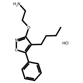 CCCCc1c(OCCN)noc1-c1ccccc1.Cl